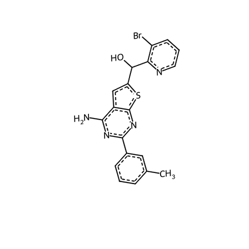 Cc1cccc(-c2nc(N)c3cc(C(O)c4ncccc4Br)sc3n2)c1